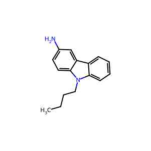 CCCCn1c2ccccc2c2cc(N)ccc21